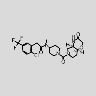 CN(C(=O)Cc1cc(C(F)(F)F)ccc1Cl)C1CCN(C(=O)N2CC[C@@H]3OCC(=O)N[C@@H]3C2)CC1